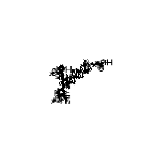 CCOc1ncc(-c2cc(N(C)CC3(COC)CCC3)c3[nH]c(-c4cnc(N5CCN(CCCC(=O)O)[C@@H](C)C5)cn4)nc3n2)cc1C(F)(F)F